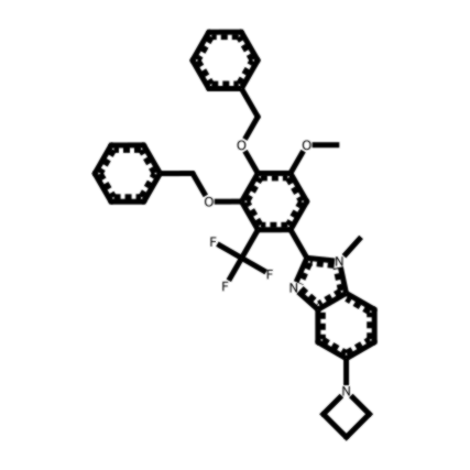 COc1cc(-c2nc3cc(N4CCC4)ccc3n2C)c(C(F)(F)F)c(OCc2ccccc2)c1OCc1ccccc1